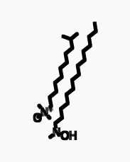 CC(C)CCCCCCCCC[N+](C)(C)[O-].CCCCCCCCCCCCCCCN(C)O